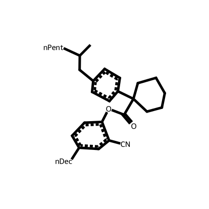 CCCCCCCCCCc1ccc(OC(=O)C2(c3ccc(CC(C)CCCCC)cc3)CCCCC2)c(C#N)c1